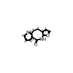 O=C1Nc2occc2CCc2ncccc21